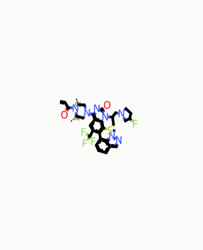 C=CC(=O)N1[C@H](C)CN(c2nc(=O)n3c4c(c(-c5cccc6cnn(C)c56)c(C(F)(F)F)cc24)SCC3CN2CCC(F)C2)C[C@@H]1C